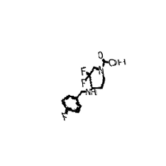 O=C(O)N1CC[C@@H](NCc2ccc(F)cc2)C(F)(F)C1